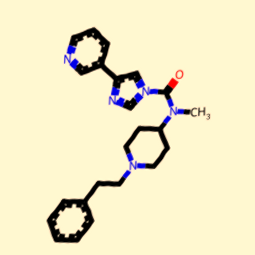 CN(C(=O)n1cnc(-c2cccnc2)c1)C1CCN(CCc2ccccc2)CC1